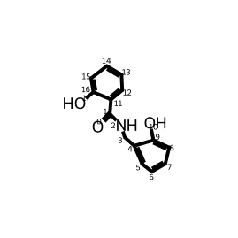 O=C(NCc1ccccc1O)c1ccccc1O